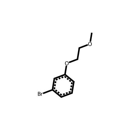 COCCOc1cccc(Br)c1